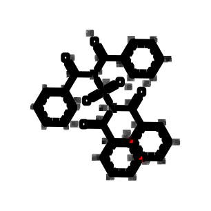 O=C(c1ccccc1)N(C(=O)c1ccccc1)S(=O)(=O)N(C(=O)c1ccccc1)C(=O)c1ccccc1